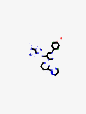 COc1cc(F)c(-c2cc(Cn3cnc4c(N)ncnc43)c(N3CCC[C@](N)(c4cccc(Cl)n4)C3)cn2)cc1F